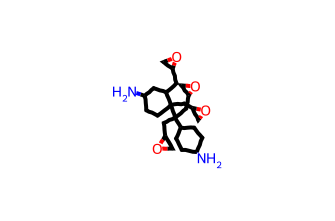 NC1CCC(C(CC2CO2)(CC2CO2)C2(CC3CO3)CCC(N)CC2CC2CO2)CC1